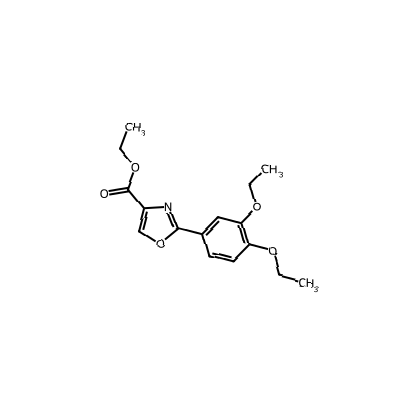 CCOC(=O)c1coc(-c2ccc(OCC)c(OCC)c2)n1